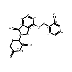 C=C1CCC(N2Cc3c(OCc4ccccc4Cl)cccc3C2=O)C(=O)N1